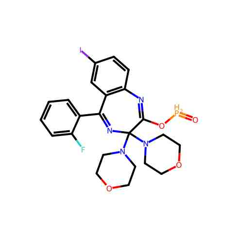 O=[PH2]OC1=Nc2ccc(I)cc2C(c2ccccc2F)=NC1(N1CCOCC1)N1CCOCC1